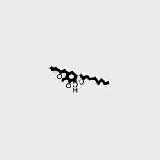 C/C=C/C1=CC2=C(CO1)C(=O)[C@](C)(O)[C@@H](CC(=O)CCCCCCC)C2